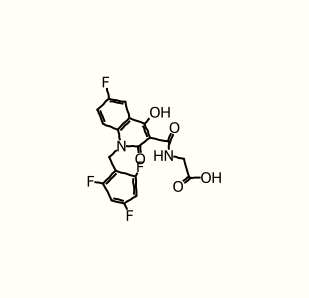 O=C(O)CNC(=O)c1c(O)c2cc(F)ccc2n(Cc2c(F)cc(F)cc2F)c1=O